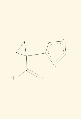 O=C(O)C1(c2c[nH]cn2)CC1